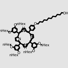 CCCCCCOc1cc(OCCCCCC)cc(-c2c3nc(c(-c4cc(OCCCCCC)cc(OCCCCCC)c4)c4ccc([nH]4)c(-c4cc(OCCCCCC)cc(OCCCCCC)c4)c4nc(c(-c5ccc(OCCCCCCCCCCCCO)cc5)c5ccc2[nH]5)C=C4)C=C3)c1